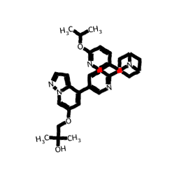 CC(C)Oc1ccc(CN2C3CC2CN(c2ccc(-c4cc(OCC(C)(C)O)cn5nccc45)cn2)C3)cn1